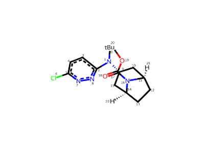 CN(c1ccc(Cl)nn1)[C@@H]1C[C@H]2CC[C@@H](C1)N2C(=O)OC(C)(C)C